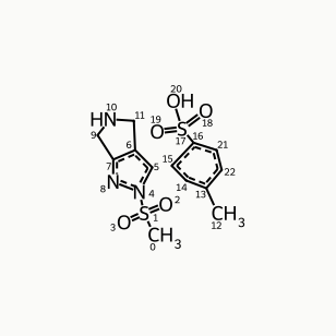 CS(=O)(=O)n1cc2c(n1)CNC2.Cc1ccc(S(=O)(=O)O)cc1